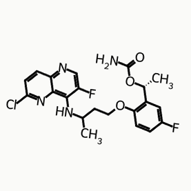 CC(CCOc1ccc(F)cc1[C@@H](C)OC(N)=O)Nc1c(F)cnc2ccc(Cl)nc12